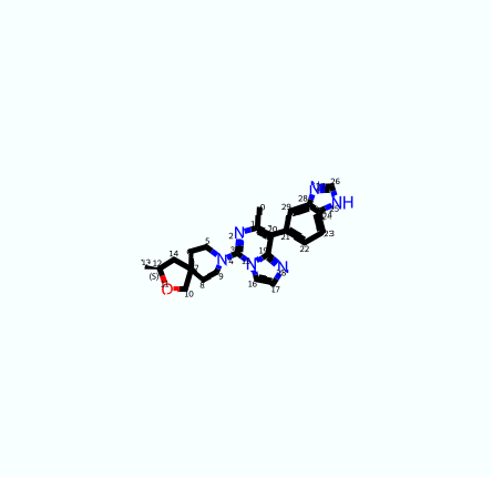 Cc1nc(N2CCC3(CC2)CO[C@@H](C)C3)n2ccnc2c1-c1ccc2[nH]cnc2c1